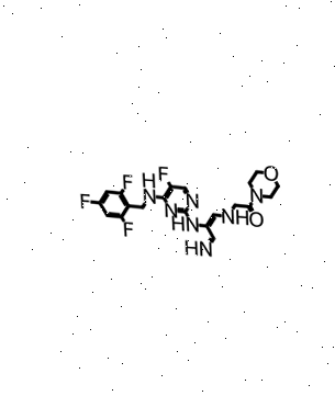 N=C/C(=C\NCC(=O)N1CCOCC1)Nc1ncc(F)c(NCc2c(F)cc(F)cc2F)n1